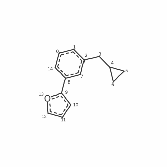 c1cc(CC2CC2)cc(-c2ccco2)c1